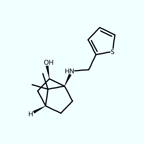 CC1(C)[C@@H]2CC[C@@]1(NCc1cccs1)[C@H](O)C2